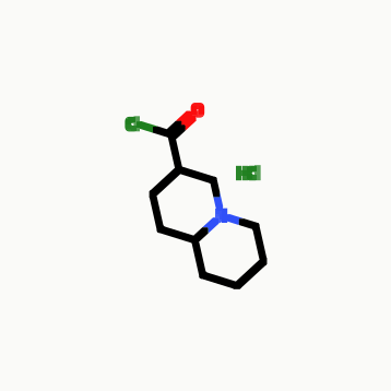 Cl.O=C(Cl)C1CCC2CCCCN2C1